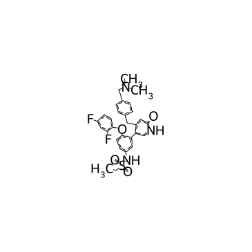 CCS(=O)(=O)Nc1ccc(Oc2ccc(F)cc2F)c(-c2c[nH]c(=O)cc2Cc2ccc(CN(C)C)cc2)c1